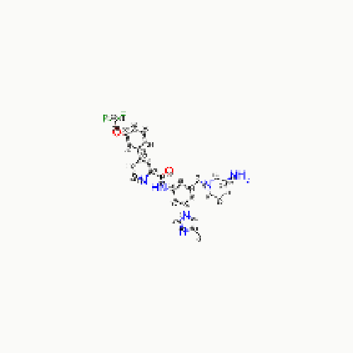 Cc1cn(-c2cc(CN3CCC[C@H](N)C3)cc(NC(=O)c3cc(-c4cccc(OC(F)F)c4)ccn3)c2)cn1